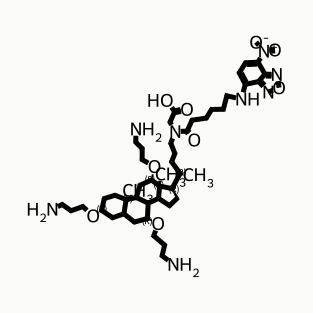 C[C@H](CCCN(CC(=O)O)C(=O)CCCCCNc1ccc([N+](=O)[O-])c2nonc12)[C@H]1CCC2C3C(C[C@H](OCCCN)[C@@]21C)[C@@]1(C)CC[C@@H](OCCCN)CC1C[C@H]3OCCCN